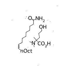 CCCCCCCC/C=C\CCCCCCCC(N)=O.CN(C)C(C)(CCCO)C(=O)O